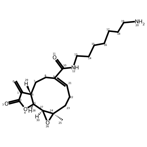 C=C1C(=O)O[C@H]2[C@H]1CC/C(C(=O)NCCCCCCCN)=C\CC[C@@]1(C)O[C@@H]21